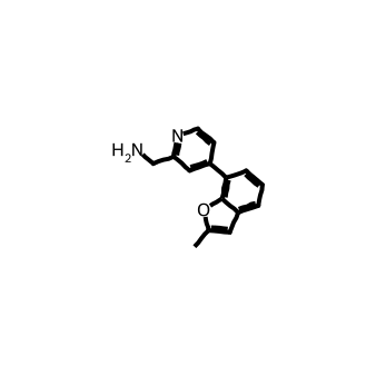 Cc1cc2cccc(-c3ccnc(CN)c3)c2o1